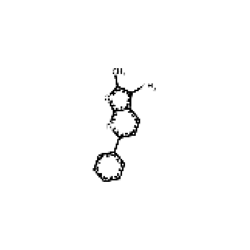 Cc1oc2nc(-c3ccccc3)ccc2c1C